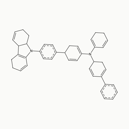 C1=CC(N(C2=CCC(c3ccc(N4C5=C(CCC=C5)C5C=CCCC54)cc3)C=C2)C2C=CC(c3ccccc3)=CC2)=CCC1